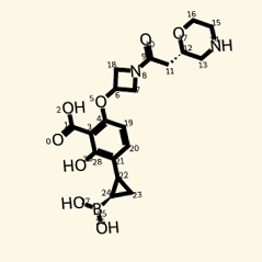 O=C(O)c1c(OC2CN(C(=O)C[C@H]3CNCCO3)C2)ccc(C2C[C@H]2B(O)O)c1O